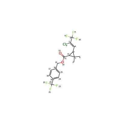 CC1(C)C(C=C(Cl)C(F)(F)F)C1C(=O)OCc1ccc(C(F)(F)F)cc1